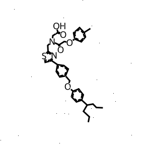 CCCC(CCC)c1ccc(OCc2ccc(-c3csc(CN(CC(=O)O)C(=O)COc4ccc(C)cc4)n3)cc2)cc1